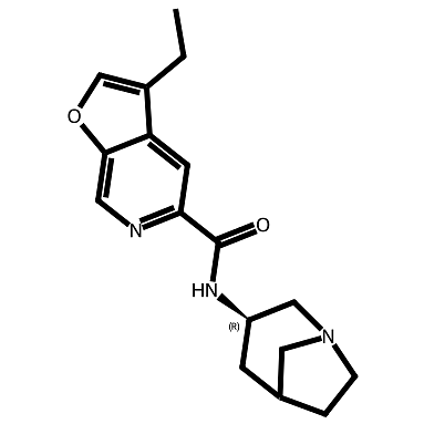 CCc1coc2cnc(C(=O)N[C@@H]3CC4CCN(C4)C3)cc12